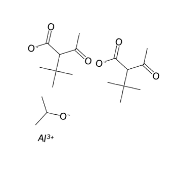 CC(=O)C(C(=O)[O-])C(C)(C)C.CC(=O)C(C(=O)[O-])C(C)(C)C.CC(C)[O-].[Al+3]